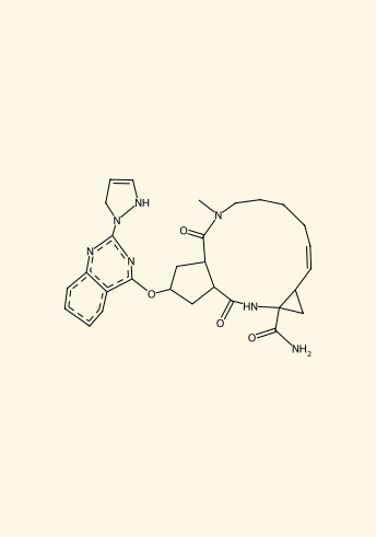 CN1CCCCC=CC2CC2(C(N)=O)NC(=O)C2CC(Oc3nc(N4CC=CN4)nc4ccccc34)CC2C1=O